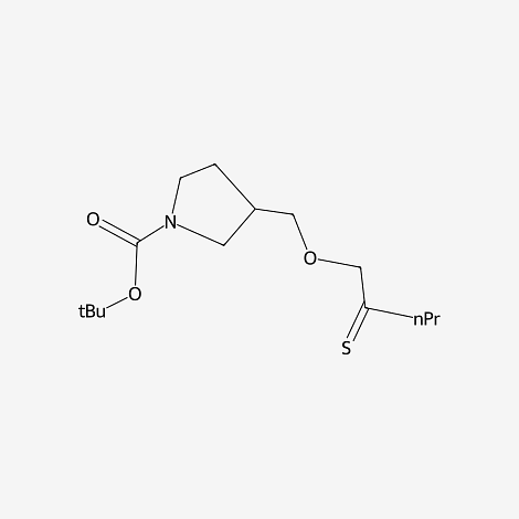 CCCC(=S)COCC1CCN(C(=O)OC(C)(C)C)C1